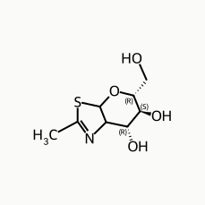 CC1=NC2C(O[C@H](CO)[C@@H](O)[C@@H]2O)S1